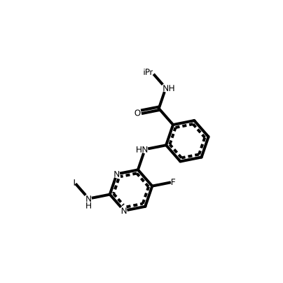 CC(C)NC(=O)c1ccccc1Nc1nc(NI)ncc1F